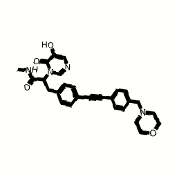 CNC(=O)C(Cc1ccc(C#Cc2ccc(CN3CCOCC3)cc2)cc1)n1cncc(O)c1=O